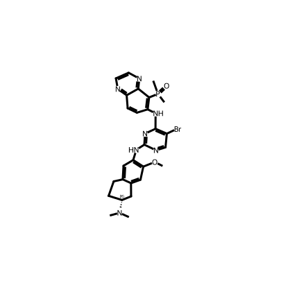 COc1cc2c(cc1Nc1ncc(Br)c(Nc3ccc4nccnc4c3P(C)(C)=O)n1)CC[C@@H](N(C)C)C2